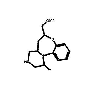 COCC1CC2CNCC(F)N2c2ccccc2O1